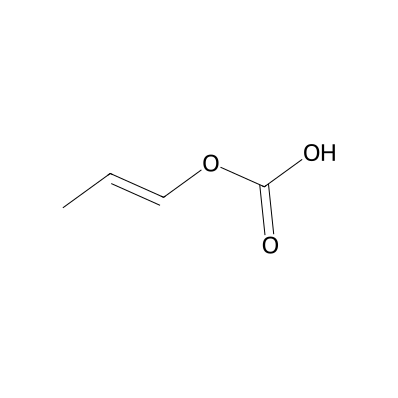 C/C=C/OC(=O)O